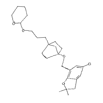 CC1(C)Cc2cc(Cl)cc(COC34CCC(CCCOC5CCCCO5)(CC3)C4)c2O1